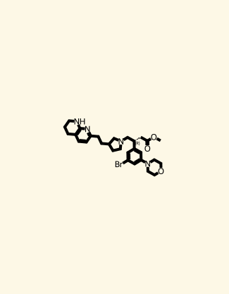 COC(=O)C[C@@H](CN1CCC(CCc2ccc3c(n2)NCCC3)C1)c1cc(Br)cc(N2CCOCC2)c1